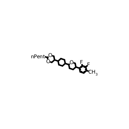 CCCCCC1OCC(C2CCC(C3CCC(c4ccc(C)c(F)c4F)CO3)CC2)CO1